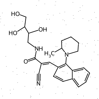 CC1CCCCN1c1c(/C=C(\C#N)C(=O)NCC(O)C(O)CO)ccc2ccccc12